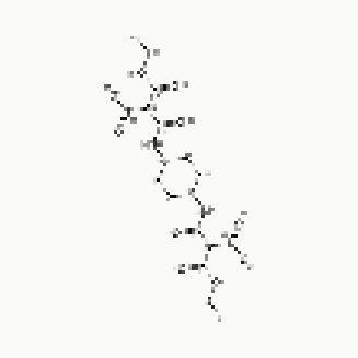 CCOC(=O)C(C(=O)NC1CCC(NC(=O)C(C(=O)OCC)[N+](=O)[O-])CC1)[N+](=O)[O-]